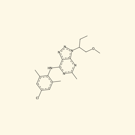 CCC(COC)n1nnc2c(Nc3c(C)cc(Cl)cc3C)nc(C)nc21